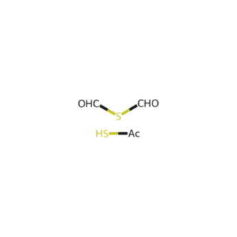 CC(=O)S.O=CSC=O